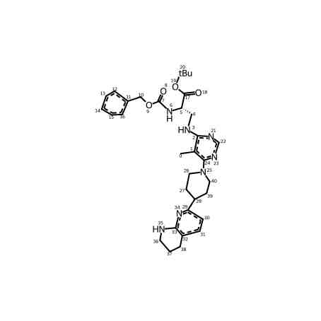 Cc1c(NC[C@H](NC(=O)OCc2ccccc2)C(=O)OC(C)(C)C)ncnc1N1CCC(c2ccc3c(n2)NCCC3)CC1